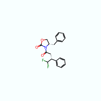 O=C(C[C@H](c1ccccc1)C(F)F)N1C(=O)OC[C@@H]1Cc1ccccc1